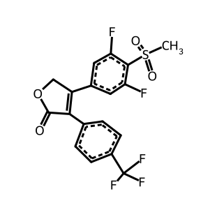 CS(=O)(=O)c1c(F)cc(C2=C(c3ccc(C(F)(F)F)cc3)C(=O)OC2)cc1F